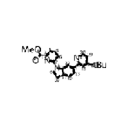 COC(=O)c1cccc(-n2ccc3ccc(-c4cc(C(C)(C)C)ccn4)cc32)n1